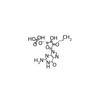 C=CCO[C@@H]1[C@H](O)[C@@H](COP(=O)(O)O)O[C@H]1n1cnc2c(=O)[nH]c(N)nc21